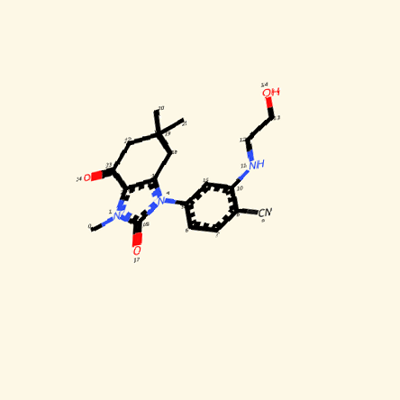 Cn1c2c(n(-c3ccc(C#N)c(NCCO)c3)c1=O)CC(C)(C)CC2=O